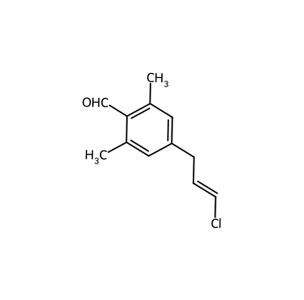 Cc1cc(CC=CCl)cc(C)c1C=O